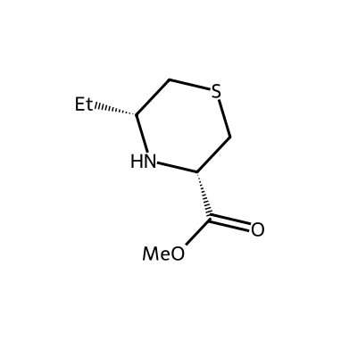 CC[C@@H]1CSC[C@H](C(=O)OC)N1